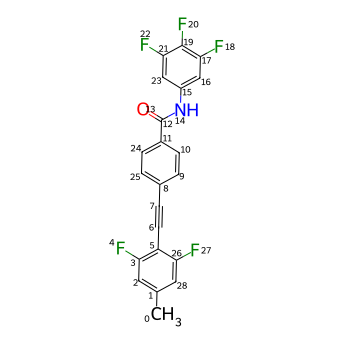 Cc1cc(F)c(C#Cc2ccc(C(=O)Nc3cc(F)c(F)c(F)c3)cc2)c(F)c1